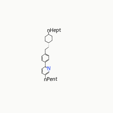 CCCCCCC[C@H]1CC[C@H](CCc2ccc(-c3ccc(CCCCC)cn3)cc2)CC1